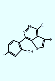 Oc1cc(F)ccc1-c1nnc(Cl)c2c(F)csc12